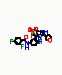 C[C@@](C[SH](=O)=O)(NC(=N)[C@@H]1CCOC1)c1cc(NC(=O)c2ccc(F)cc2F)ccc1F